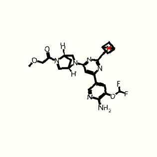 COCC(=O)N1C[C@@H]2C[C@H]1CN2c1cc(-c2cnc(N)c(OC(F)F)c2)nc(N2CC3CC2C3)n1